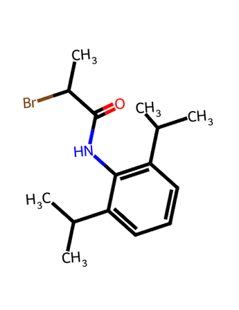 CC(Br)C(=O)Nc1c(C(C)C)cccc1C(C)C